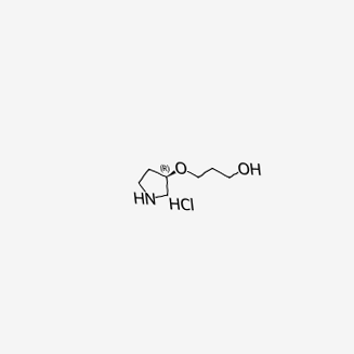 Cl.OCCCO[C@@H]1CCNC1